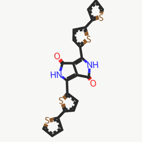 O=C1NC(c2ccc(-c3cccs3)s2)=C2C(=O)NC(c3ccc(-c4cccs4)s3)=C12